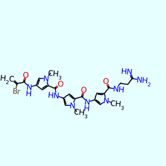 C=C(Br)C(=O)Nc1cc(C(=O)Nc2cc(C(=O)Nc3cc(C(=O)NCCC(=N)N)n(C)c3)n(C)c2)n(C)c1